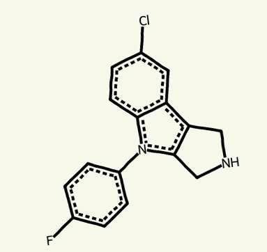 Fc1ccc(-n2c3c(c4cc(Cl)ccc42)CNC3)cc1